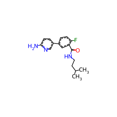 CC(C)CCNC(=O)c1cc(-c2ccc(N)nc2)ccc1F